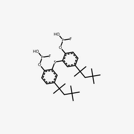 CC(C)(C)CC(C)(C)c1ccc(OP(O)F)c(Sc2cc(C(C)(C)CC(C)(C)C)ccc2OP(O)F)c1